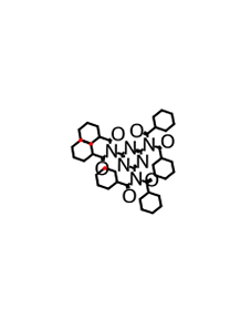 O=C(C1CCCCC1)N(C(=O)C1CCCCC1)c1nc(N(C(=O)C2CCCCC2)C(=O)C2CCCCC2)nc(N(C(=O)C2CCCCC2)C(=O)C2CCCCC2)n1